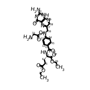 CCOC(=O)CC[C@H](NC(=O)c1ccc(N(Cc2cnc3[nH]c(N)nc(=O)c3n2)OC(=O)CN)cc1)C(=O)OCC